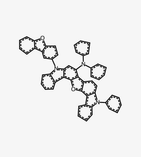 c1ccc(N(c2ccccc2)c2cc3c(c4ccccc4n3-c3ccc4oc5ccccc5c4c3)c3oc4c(ccc5c4c4ccccc4n5-c4ccccc4)c23)cc1